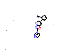 N#Cc1ccccc1-c1cnc2nc(N3CCN4CCC3CC4)oc2c1